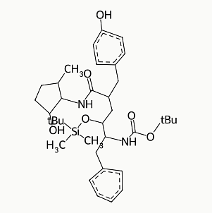 CC1CCC(O)C1NC(=O)C(Cc1ccc(O)cc1)CC(O[Si](C)(C)C(C)(C)C)C(Cc1ccccc1)NC(=O)OC(C)(C)C